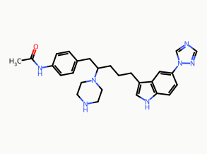 CC(=O)Nc1ccc(CC(CCCc2c[nH]c3ccc(-n4cncn4)cc23)N2CCNCC2)cc1